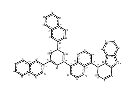 C1=Cc2oc3ccccc3c2C(c2cccc3c(C4=NC(c5ccc6ccccc6c5)NC(c5ccc6ccccc6c5)=N4)cccc23)N1